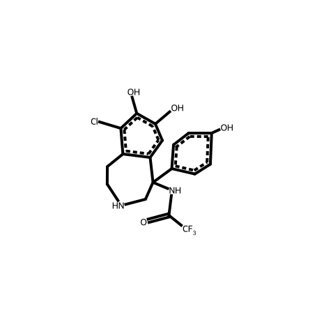 O=C(NC1(c2ccc(O)cc2)CNCCc2c1cc(O)c(O)c2Cl)C(F)(F)F